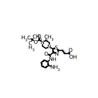 C[C@@H]1CN(c2sc(/C=C/C(=O)O)nc2C(=O)Nc2ccccc2N)CCN1C(=O)OC(C)(C)C